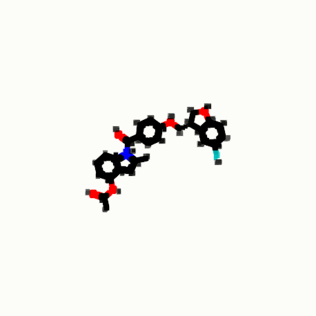 CC(=O)Oc1cccc2c1cc(C)n2C(=O)c1ccc(OC[C@@H]2COc3ccc(F)cc32)cc1